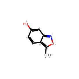 O=C(O)c1onc2cc(O)ccc12